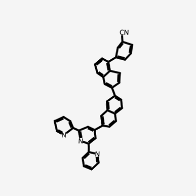 N#Cc1cccc(-c2cccc3cc(-c4ccc5ccc(-c6cc(-c7ccccn7)nc(-c7ccccn7)c6)cc5c4)ccc23)c1